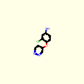 [NH]c1ccc(Oc2ccnnc2)c(Cl)c1